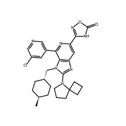 C[C@H]1CC[C@H](Cn2c(N3CCCC34CCC4)nc3cc(-c4noc(=O)[nH]4)nc(-c4cncc(Cl)c4)c32)CC1